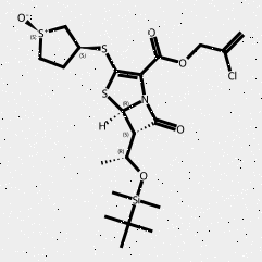 C=C(Cl)COC(=O)C1=C(S[C@H]2CC[S@@+]([O-])C2)S[C@@H]2[C@@H]([C@@H](C)O[Si](C)(C)C(C)(C)C)C(=O)N12